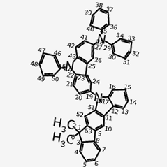 CC1(C)c2ccccc2-c2cc3c4ccccc4n(-c4ccc5c(c4)c4cc(N(c6ccccc6)c6ccccc6)ccc4n5-c4ccccc4)c3cc21